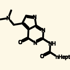 CCCCCCCC(=O)NC1=NC(=O)C2=C(CN(C)C)C=NC2=N1